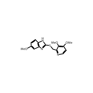 COc1ccc2[nH]c(SCc3nccc(OC)c3OC)nc2c1